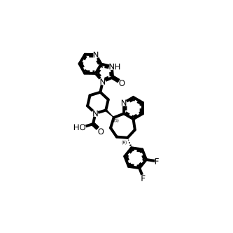 O=C(O)N1CCC(n2c(=O)[nH]c3ncccc32)CC1[C@@H]1CC[C@@H](c2ccc(F)c(F)c2)Cc2cccnc21